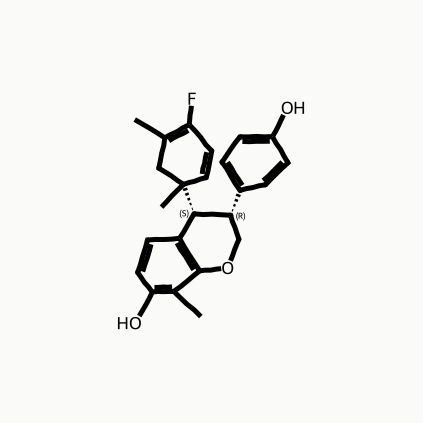 CC1=C(F)C=CC(C)([C@H]2c3ccc(O)c(C)c3OC[C@H]2c2ccc(O)cc2)C1